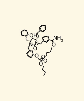 CCCCOP(=O)(COc1cccc(CN2C(=O)N(Cc3cccc(C(N)=O)c3)[C@H](CCc3ccccc3)[C@@H](O)[C@H]2Cc2ccccc2)c1)OCCCC